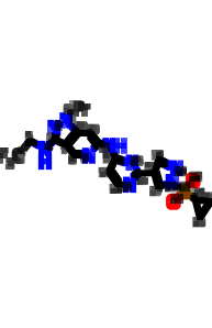 CC(C)n1nc(NCC(F)(F)F)c2cnc(Nc3ccnc(-c4cnn(S(=O)(=O)C5CC5)c4)n3)cc21